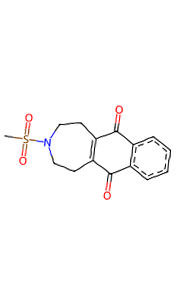 CS(=O)(=O)N1CCC2=C(CC1)C(=O)c1ccccc1C2=O